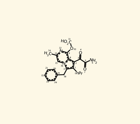 CCCc1c(C(=O)C(N)=O)c2c(OC(=O)O)nc(C)cn2c1Cc1ccccc1